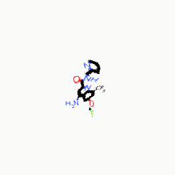 Nc1cc(C(=O)NCc2ccccn2)nc2c(C(F)(F)F)cc(OCF)cc12